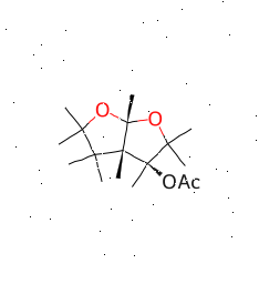 CC(=O)O[C@]1(C)C(C)(C)O[C@@]2(C)OC(C)(C)C(C)(C)[C@]21C